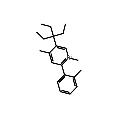 CCC(CC)(CC)c1c[n+](C)c(-c2ccccc2C)cc1C